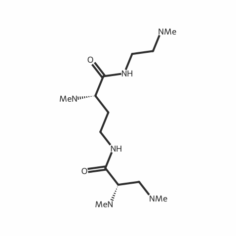 CNCCNC(=O)[C@H](CCNC(=O)[C@H](CNC)NC)NC